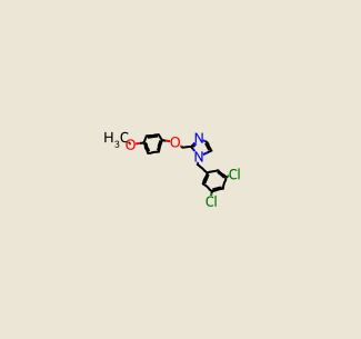 COc1ccc(OCc2nccn2Cc2cc(Cl)cc(Cl)c2)cc1